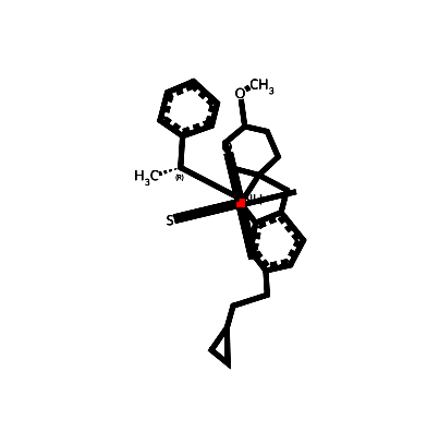 COC1CCC2(CC1)Cc1ccc(CCC3CC3)cc1C21NC(=S)N([C@H](C)c2ccccc2)C1=O